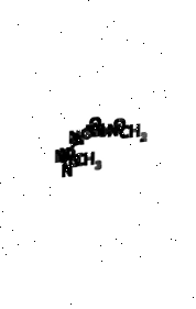 C=CC(=O)N1CC2(CCN(C(=O)N3CCC(n4cc(-c5cc(OC)c6c(C#N)cnn6c5)cn4)CC3)C2)C1